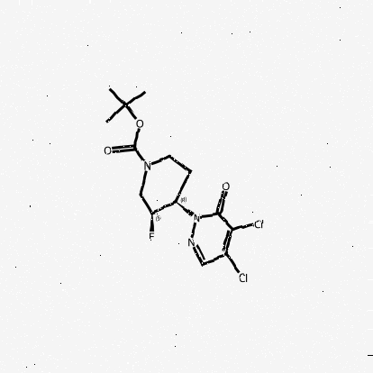 CC(C)(C)OC(=O)N1CC[C@@H](n2ncc(Cl)c(Cl)c2=O)[C@@H](F)C1